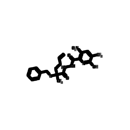 C=CCCC(OCc1ccccc1)(C(=O)NNC(=O)c1nc(O)c(C(F)(F)F)cc1[N+](=O)[O-])C(F)(F)F